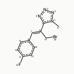 Cn1nnnc1C(=Cc1ccc(F)cc1)CBr